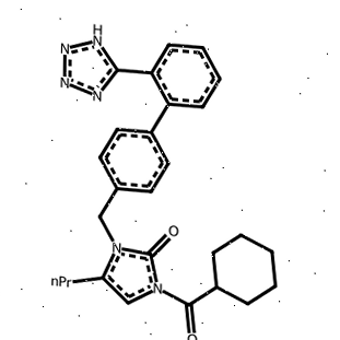 CCCc1cn(C(=O)C2CCCCC2)c(=O)n1Cc1ccc(-c2ccccc2-c2nnn[nH]2)cc1